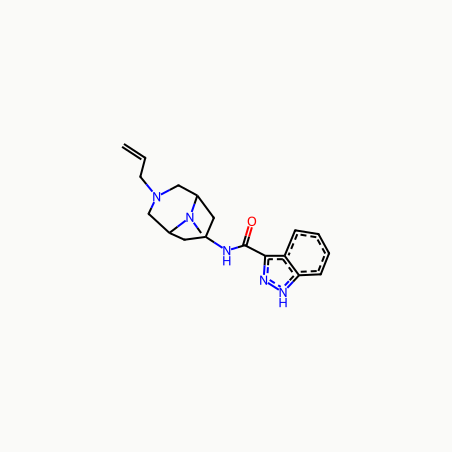 C=CCN1CC2CC(NC(=O)c3n[nH]c4ccccc34)CC(C1)N2C